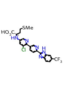 CSCC[C@H](Nc1cnc(-c2ccc(-c3nc4ccc(C(F)(F)F)cc4[nH]3)nc2)c(Cl)c1)C(=O)O